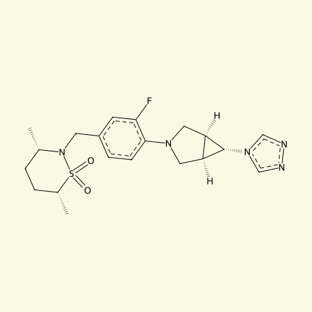 C[C@@H]1CC[C@H](C)N(Cc2ccc(N3C[C@@H]4[C@H](C3)[C@H]4n3cnnc3)c(F)c2)S1(=O)=O